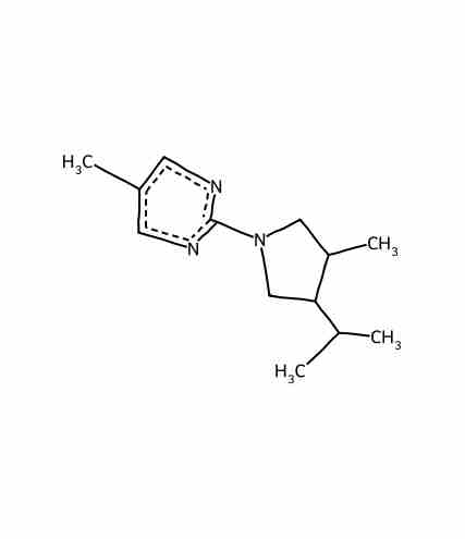 Cc1cnc(N2CC(C)C(C(C)C)C2)nc1